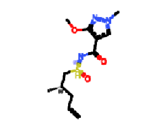 C=CC[C@H](C)C/[SH](=O)=N/C(=O)c1cn(C)nc1OC